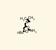 CCCCOCC(CN1CC1(C)C)OC(N)=O